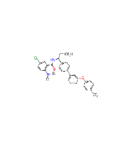 CCN(CC)c1ccc(Cl)cc1C(=O)NC(CC(=O)O)c1ccc(-c2cccc(Oc3ccc(C(F)(F)F)cc3)c2)cc1